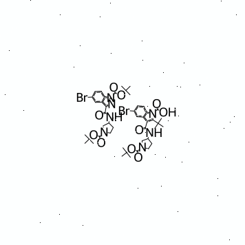 CC(C)(C)OC(=O)N1CCC(NC(=O)c2c(C(C)(C)C)n(C(=O)O)c3ccc(Br)cc23)C1.CC(C)(C)OC(=O)N1CCC(NC(=O)c2nn(C(=O)OC(C)(C)C)c3ccc(Br)cc23)C1